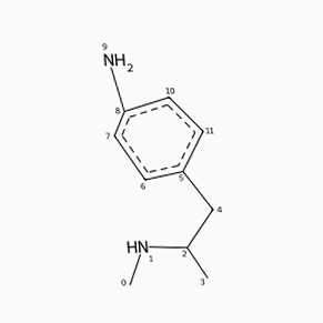 CNC(C)Cc1ccc(N)cc1